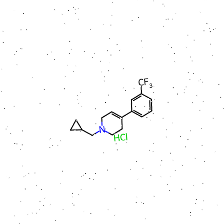 Cl.FC(F)(F)c1cccc(C2=CCN(CC3CC3)CC2)c1